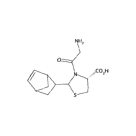 NCC(=O)N1C(C2CC3C=CC2C3)SC[C@H]1C(=O)O